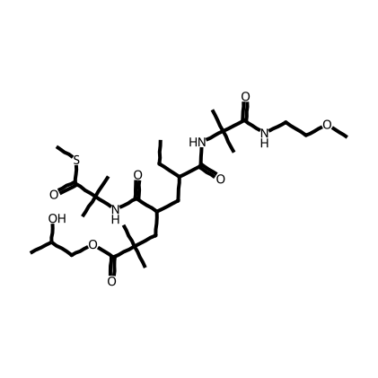 CCC(CC(CC(C)(C)C(=O)OCC(C)O)C(=O)NC(C)(C)C(=O)SC)C(=O)NC(C)(C)C(=O)NCCOC